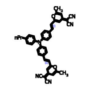 CCCc1ccc(N(c2ccc(/C=C/C3=CC(=C(C#N)C#N)C=C(C)O3)cc2)c2ccc(/C=C/C3=CC(=C(C#N)C#N)C=C(C)O3)cc2)cc1